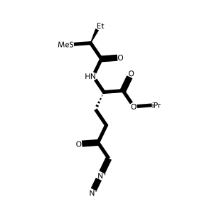 CC[C@H](SC)C(=O)N[C@@H](CCC(=O)C=[N+]=[N-])C(=O)OC(C)C